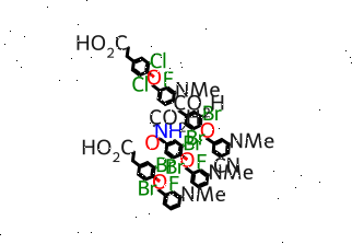 CNc1cc(C#N)cc(COc2c(Br)cc(CC(=O)O)cc2Br)c1.CNc1cccc(COc2c(Br)cc(C(=O)NCC(=O)O)cc2Br)c1F.CNc1cccc(COc2c(Br)cc(CCC(=O)O)cc2Br)c1F.CNc1cccc(COc2c(Cl)cc(CCC(=O)O)cc2Cl)c1F